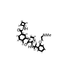 CNCCOc1ccccc1C(C)(C)Nc1nccn(-c2cc(C(=O)NC3CCC3)ccc2C)c1=O